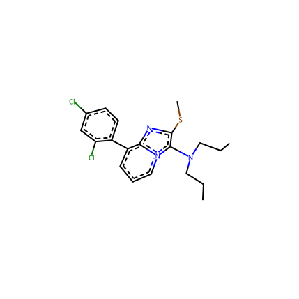 CCCN(CCC)c1c(SC)nc2c(-c3ccc(Cl)cc3Cl)cccn12